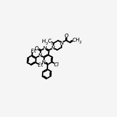 C=CC(=O)N1CCN(c2nc(=O)n(-c3c(CC)cccc3CC)c3nc(-c4ccccc4)c(Cl)cc23)[C@@H](C)C1